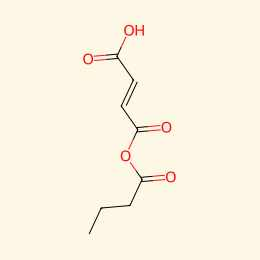 CCCC(=O)OC(=O)C=CC(=O)O